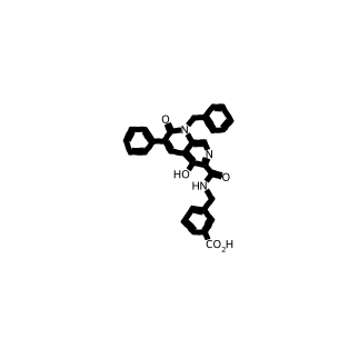 O=C(O)c1cccc(CNC(=O)c2ncc3c(cc(-c4ccccc4)c(=O)n3Cc3ccccc3)c2O)c1